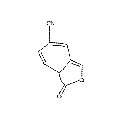 N#CC1=CC2=COC(=O)C2C=C1